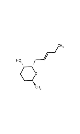 CC/C=C/C[C@@H]1O[C@@H](C)CC[C@@H]1O